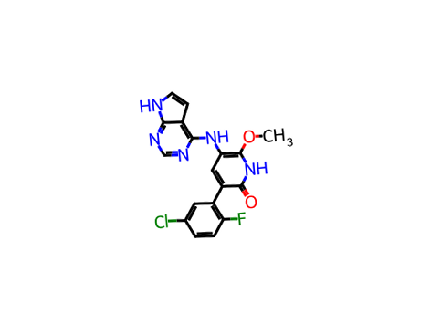 COc1[nH]c(=O)c(-c2cc(Cl)ccc2F)cc1Nc1ncnc2[nH]ccc12